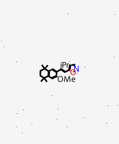 COc1cc2c(cc1C(=Cc1ccno1)C(C)C)C(C)(C)CCC2(C)C